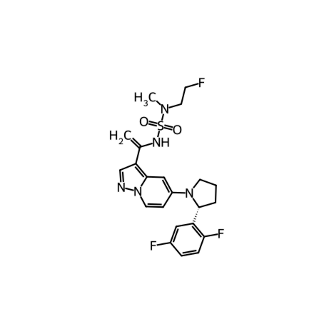 C=C(NS(=O)(=O)N(C)CCF)c1cnn2ccc(N3CCC[C@@H]3c3cc(F)ccc3F)cc12